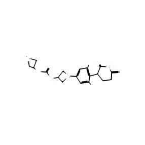 O=C1CCC(c2c(F)cc(N3CC(NC(=O)OC4CNC4)C3)cc2F)C(=O)N1